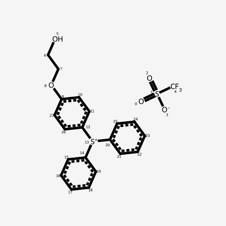 O=S(=O)([O-])C(F)(F)F.OCCOc1ccc([S+](c2ccccc2)c2ccccc2)cc1